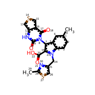 Cc1ccc2c(c1)c(-n1c(=O)[nH]c3cscc3c1=O)c(C(=O)O)n2Cc1csc(C)n1